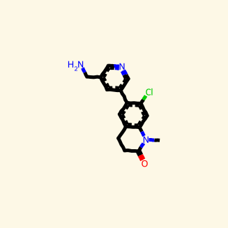 CN1C(=O)CCc2cc(-c3cncc(CN)c3)c(Cl)cc21